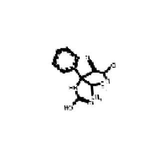 CC(C)C(NC(=O)O)(C(=O)C(Cl)Cl)c1ccccc1